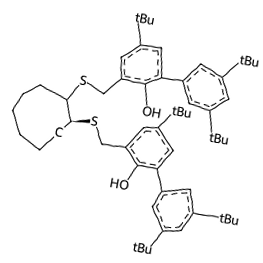 CC(C)(C)c1cc(-c2cc(C(C)(C)C)cc(CSC3CCCCCC[C@@H]3SCc3cc(C(C)(C)C)cc(-c4cc(C(C)(C)C)cc(C(C)(C)C)c4)c3O)c2O)cc(C(C)(C)C)c1